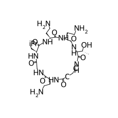 CC(C)C[C@@H]1NC(=O)CNC(=O)[C@H](CCN)NC(=O)CCCNC(=O)[C@H]([C@@H](C)O)NC(=O)[C@H](CCN)NC(=O)[C@H](CCN)NC1=O